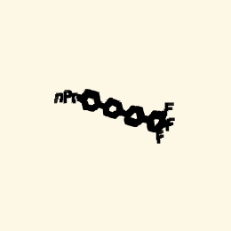 CCCC1C=CC(C2CCC(c3ccc(-c4cc(F)c(F)c(F)c4)cc3)CC2)CC1